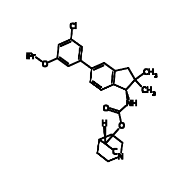 CC(C)Oc1cc(Cl)cc(-c2ccc3c(c2)CC(C)(C)[C@H]3NC(=O)O[C@@H]2CN3CCC2CC3)c1